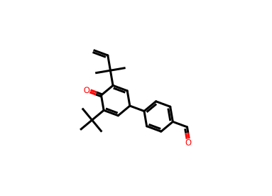 C=CC(C)(C)C1=CC(c2ccc(C=O)cc2)C=C(C(C)(C)C)C1=O